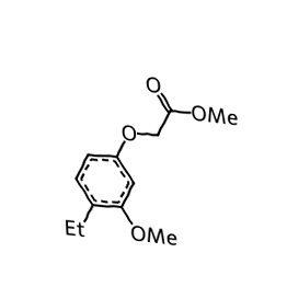 CCc1ccc(OCC(=O)OC)cc1OC